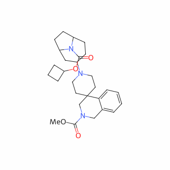 COC(=O)N1Cc2ccccc2C2(CCN(C3CCC4CCC(C3)N4C(=O)OC3CCC3)CC2)C1